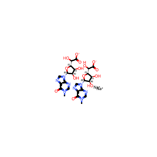 Cn1cnc2c(ncn2[C@@H]2O[C@H](C(O)C(=O)[O-])[C@@H](O)[C@H]2O)c1=O.Cn1cnc2c(ncn2[C@@H]2O[C@H](C(O)C(=O)[O-])[C@@H](O)[C@H]2O)c1=O.[Na+].[Na+]